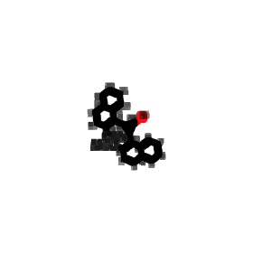 COc1ccc2ccccc2c1-c1c(-c2c(OC)ccc3ccccc23)c1=O